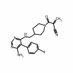 C=C(C#N)C(=O)N1CCC(CNc2ncnc(N)c2-c2ccc(F)cc2)CC1